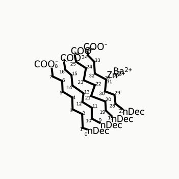 CCCCCCCCCCCCCCCCCC(=O)[O-].CCCCCCCCCCCCCCCCCC(=O)[O-].CCCCCCCCCCCCCCCCCC(=O)[O-].CCCCCCCCCCCCCCCCCC(=O)[O-].[Ba+2].[Zn+2]